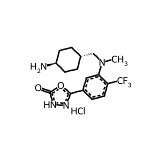 CN(C[C@H]1CC[C@H](N)CC1)c1cc(-c2n[nH]c(=O)o2)ccc1C(F)(F)F.Cl